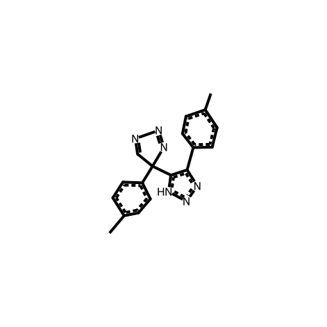 Cc1ccc(-c2nn[nH]c2C2(c3ccc(C)cc3)C=NN=N2)cc1